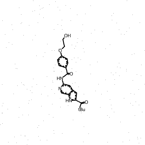 CC(C)(C)C(=O)c1cc2cc(NC(=O)c3ccc(OCCO)cc3)ncc2[nH]1